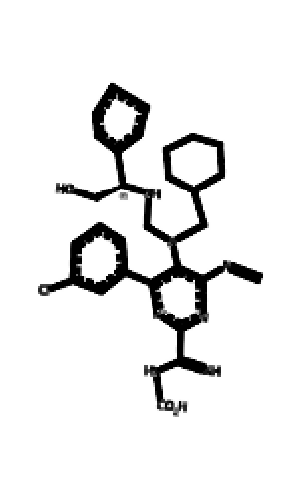 C=Nc1nc(C(=N)NC(=O)O)nc(-c2cccc(Cl)c2)c1N(CN[C@@H](CO)c1ccccc1)CC1CCCCC1